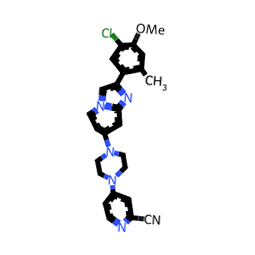 COc1cc(C)c(-c2cn3ccc(N4CCN(c5ccnc(C#N)c5)CC4)cc3n2)cc1Cl